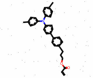 C=CC(=O)OCCCc1ccc(-c2ccc(N(c3ccc(C)cc3)c3ccc(C)cc3)cc2)cc1